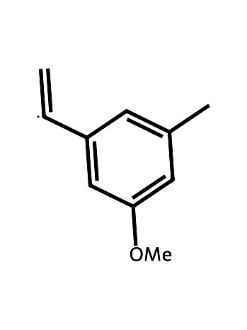 C=[C]c1cc(C)cc(OC)c1